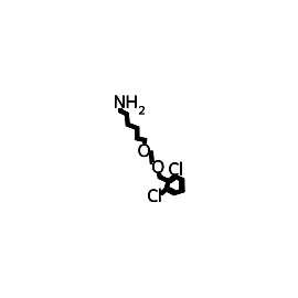 NCCCCCCOCCOCc1c(Cl)cccc1Cl